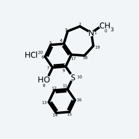 CN1CCc2ccc(O)c(Sc3ccccc3)c2CC1.Cl